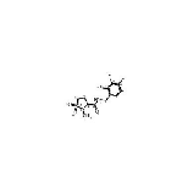 CN1C(C(=O)NCc2ccc(F)c(F)c2F)CCS1(=O)=O